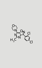 Cc1nc(N2CCOCC2)c2onc(-c3ccc(Cl)cc3Cl)c2n1